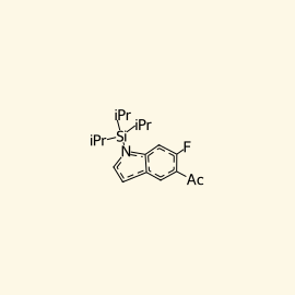 CC(=O)c1cc2ccn([Si](C(C)C)(C(C)C)C(C)C)c2cc1F